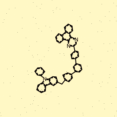 c1ccc(-n2c3ccccc3c3cc(Cc4ccc(-c5cccc(-c6ccc(-c7cnc8c9ccccc9c9ccccc9c8n7)cc6)c5)cc4)ccc32)cc1